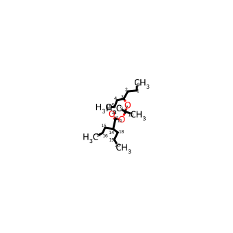 CCCC(CCC)OC(C)(C)OC(=O)C(CCC)CCC